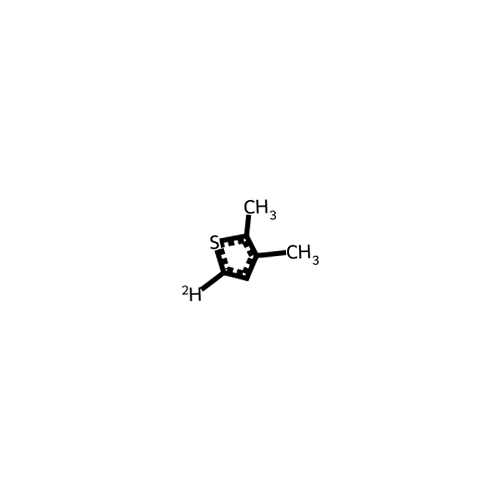 [2H]c1cc(C)c(C)s1